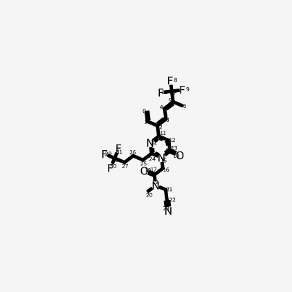 C=C/C(=C\C=C(/C)C(F)(F)F)c1cc(=O)n(CC(=O)N(C)CC#N)c(CCCC(F)(F)F)n1